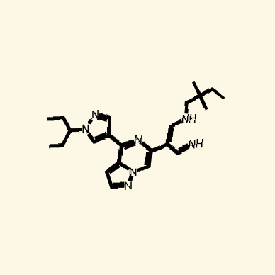 CCC(CC)n1cc(-c2nc(/C(C=N)=C/NCC(C)(C)CC)cn3nccc23)cn1